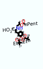 CCCCCC(=O)OC(C)CN[C@@H](Cc1ccc(OC(=O)C(C)(C)CC)c(OC(=O)C(C)(C)CC)c1)C(=O)O